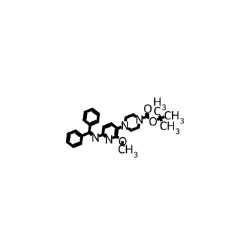 COc1nc(N=C(c2ccccc2)c2ccccc2)ccc1N1CCN(C(=O)OC(C)(C)C)CC1